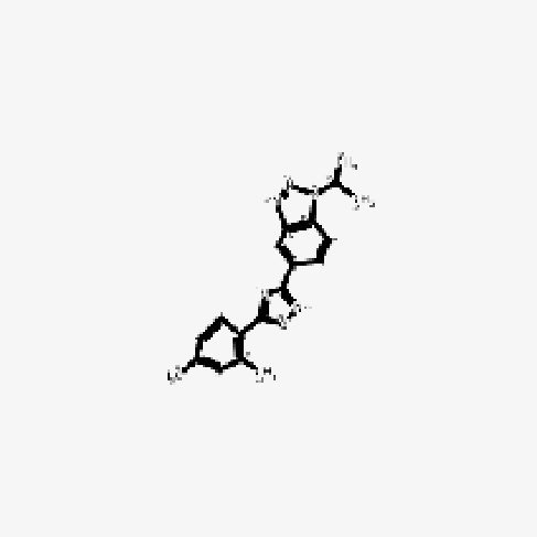 Cc1ccc(-c2nc(-c3ccc4c(c3)nnn4C(C)C)no2)c(C)c1